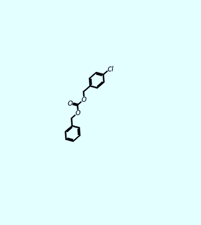 O=C(OCc1ccccc1)OCc1ccc(Cl)cc1